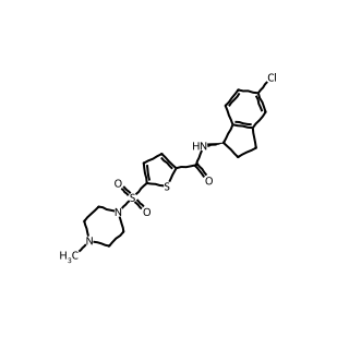 CN1CCN(S(=O)(=O)c2ccc(C(=O)N[C@@H]3CCc4cc(Cl)ccc43)s2)CC1